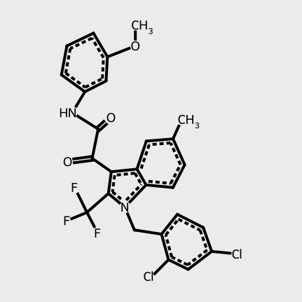 COc1cccc(NC(=O)C(=O)c2c(C(F)(F)F)n(Cc3ccc(Cl)cc3Cl)c3ccc(C)cc23)c1